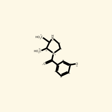 O=C(O)C1NCCN(C(=O)c2cccc(Cl)c2)C1C(=O)O